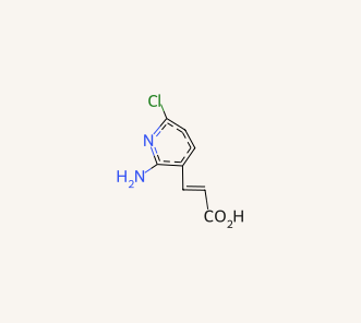 Nc1nc(Cl)ccc1C=CC(=O)O